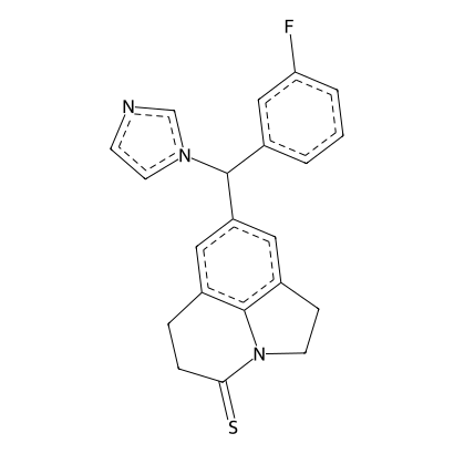 Fc1cccc(C(c2cc3c4c(c2)CCN4C(=S)CC3)n2ccnc2)c1